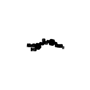 COc1cc(/C=C/C(=O)OCc2ccc(CO[N+](=O)[O-])cc2)ccc1O